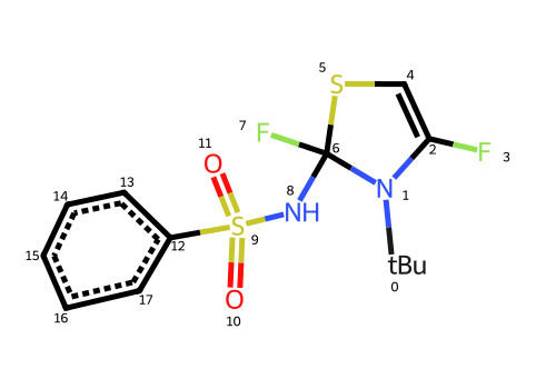 CC(C)(C)N1C(F)=CSC1(F)NS(=O)(=O)c1ccccc1